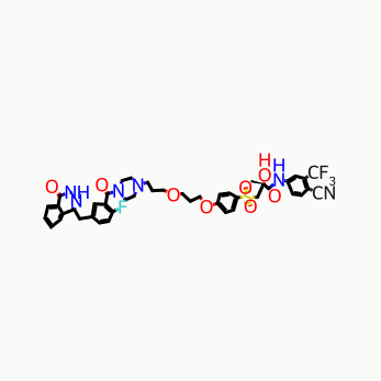 C[C@](O)(CS(=O)(=O)c1ccc(OCCCOCCCN2CCN(C(=O)c3cc(Cc4n[nH]c(=O)c5ccccc45)ccc3F)CC2)cc1)C(=O)Nc1ccc(C#N)c(C(F)(F)F)c1